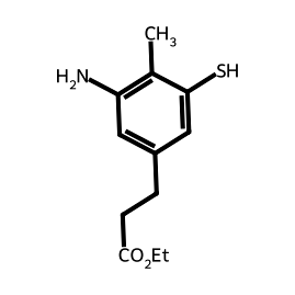 CCOC(=O)CCc1cc(N)c(C)c(S)c1